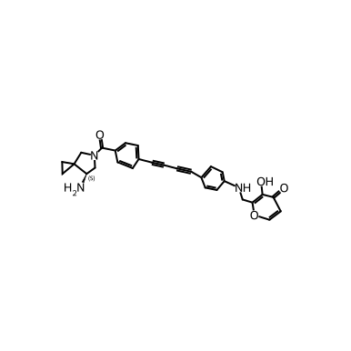 N[C@@H]1CN(C(=O)c2ccc(C#CC#Cc3ccc(NCc4occc(=O)c4O)cc3)cc2)CC12CC2